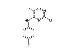 Cc1cnc(Cl)nc1Nc1ccc(Cl)cc1